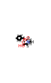 [2H]C([2H])([2H])N(C(=O)OCc1ccccc1)C(C)C(=O)O